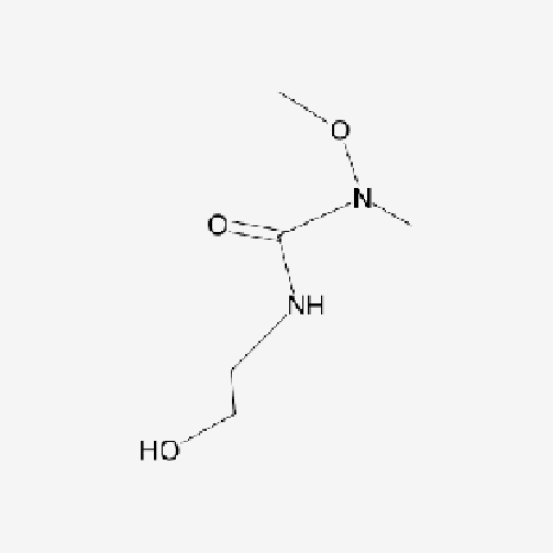 CON(C)C(=O)NCCO